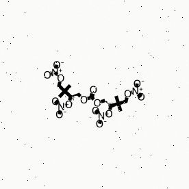 CC(C)(CO[N+](=O)[O-])[C@@H](COC(=O)OC[C@@H](O[N+](=O)[O-])C(C)(C)CO[N+](=O)[O-])O[N+](=O)[O-]